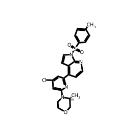 Cc1ccc(S(=O)(=O)n2ccc3c(-c4cc(Cl)cc(N5CCOC[C@H]5C)n4)ccnc32)cc1